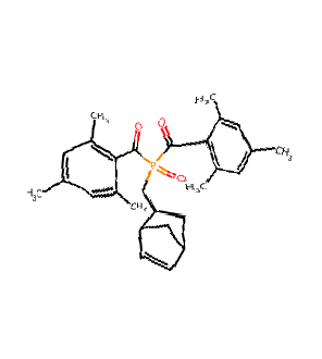 Cc1cc(C)c(C(=O)P(=O)(CC2CC3C=CC2C3)C(=O)c2c(C)cc(C)cc2C)c(C)c1